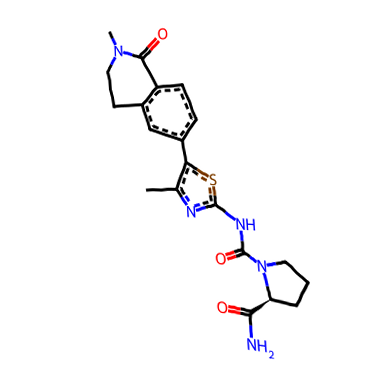 Cc1nc(NC(=O)N2CCC[C@H]2C(N)=O)sc1-c1ccc2c(c1)CCN(C)C2=O